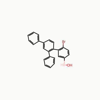 OBc1ccc(Br)c(-c2ccc(-c3ccccc3)cc2-c2ccccc2)c1